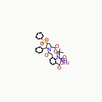 CC(C)(C)OC(=O)C1CC(S(=O)(=O)c2ccccc2)C(c2ccccc2)N1C(=O)Cc1cccc(C(=O)O)c1NC(N)=O